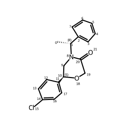 C[C@H](c1ccccc1)N1C[C@H](c2ccc(Cl)cc2)OCC1=O